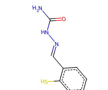 NC(=O)NN=Cc1ccccc1S